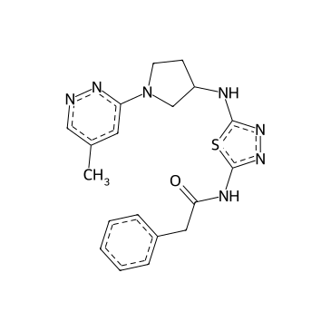 Cc1cnnc(N2CCC(Nc3nnc(NC(=O)Cc4ccccc4)s3)C2)c1